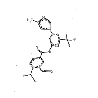 Cc1cn(-c2cc(NC(=O)c3ccc(C(F)F)c(C=O)c3)cc(C(F)(F)F)c2)cn1